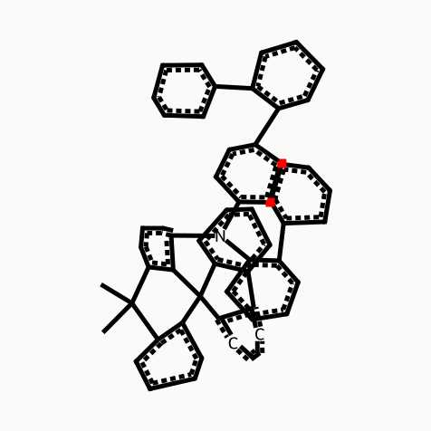 CC1(C)c2ccccc2C2(c3ccccc3-c3ccccc32)c2c(N(c3ccc(-c4ccccc4-c4ccccc4)cc3)c3ccccc3-c3ccccc3)cccc21